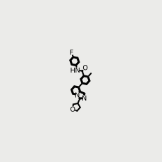 Cc1ccc(-c2cccn3c(C4CCOC4)ncc23)cc1C(=O)Nc1ccc(F)cc1